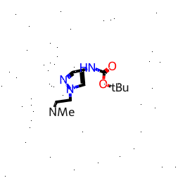 CNCCn1cc(NC(=O)OC(C)(C)C)cn1